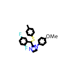 COc1ccc(-n2ccnc2C(Sc2ccc(C)cc2)c2cc(F)ccc2F)cc1